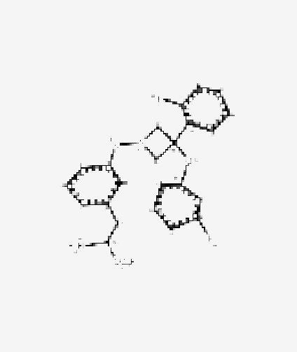 N[C@@H](Cc1cccc(SN2CC(Oc3cccc(F)c3)(c3ccccc3F)C2)c1)C(=O)O